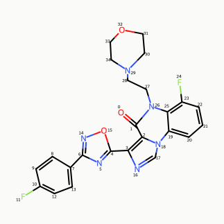 O=c1c2c(-c3nc(-c4ccc(F)cc4)no3)ncn2c2cccc(F)c2n1CCN1CCOCC1